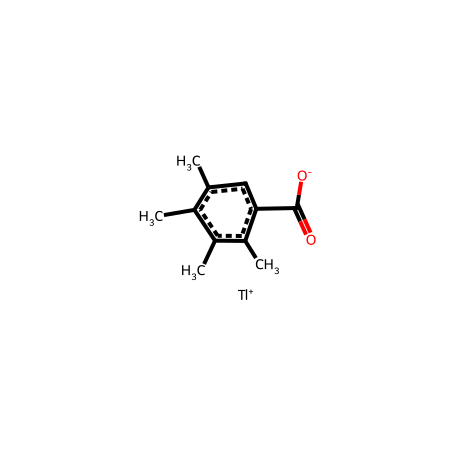 Cc1cc(C(=O)[O-])c(C)c(C)c1C.[Tl+]